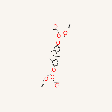 C#CCOCC(COc1ccc(C(C)(C)c2ccc(OCC(COCC#C)OCC3CO3)cc2C)c(C)c1)OCC1CO1